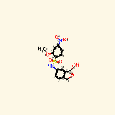 COc1cc([N+](=O)[O-])ccc1S(=O)(=O)Nc1ccc2c(c1)B(O)OC2